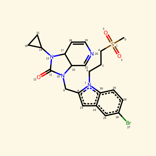 CS(=O)(=O)CCCn1c(CN2C(=O)N(C3CC3)C3C=CN=CC32)cc2cc(Br)ccc21